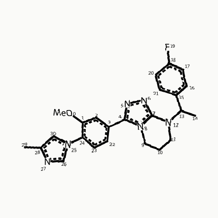 COc1cc(-c2nnc3n2CCCN3C(C)c2ccc(F)cc2)ccc1-n1cnc(C)c1